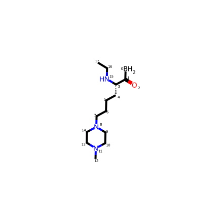 BC(=O)[C@H](CCCCN1CCN(C)CC1)NCC